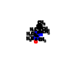 Cc1cc(C)c(-c2c(C)nn3c2nc(C)c2c3n(C)c(=O)n2C)c(C)c1